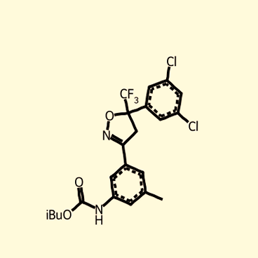 Cc1cc(NC(=O)OCC(C)C)cc(C2=NOC(c3cc(Cl)cc(Cl)c3)(C(F)(F)F)C2)c1